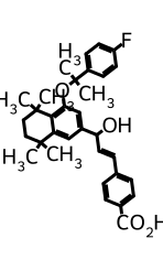 CC1(C)CCC(C)(C)c2c(OC(C)(C)c3ccc(F)cc3)cc(C(O)/C=C/c3ccc(C(=O)O)cc3)cc21